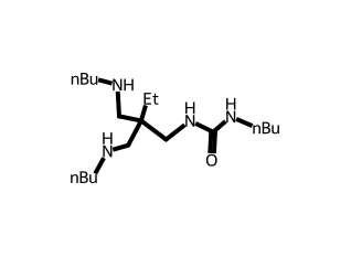 CCCCNCC(CC)(CNCCCC)CNC(=O)NCCCC